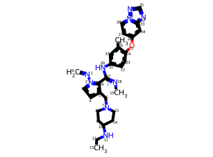 C=Nn1ccc(CN2CCC(NCC)CC2)c1/C(=N\C)Nc1ccc(Oc2ccn3ncnc3c2)c(C)c1